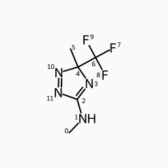 CNC1=NC(C)(C(F)(F)F)N=N1